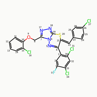 Fc1cc(C2=Nn3c(COc4ccccc4Cl)nnc3SC2=Cc2ccc(Cl)cc2)c(Cl)cc1Cl